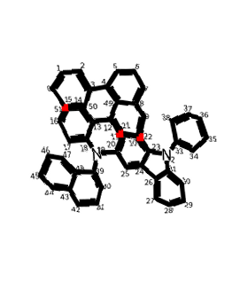 c1ccc(-c2cccc3cccc(-c4ccccc4N(c4ccc5c(c4)c4ccccc4n5-c4ccccc4)c4cccc5ccccc45)c23)cc1